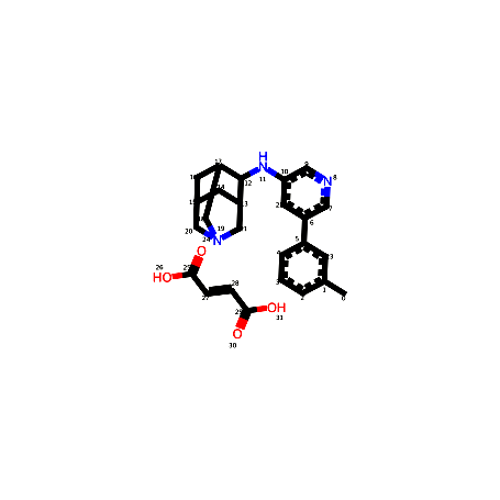 Cc1cccc(-c2cncc(NC3C4CC5CC3CN(C5)C4)c2)c1.O=C(O)C=CC(=O)O